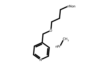 CCCC.CCCCCCCCCCCCOCc1ccncc1